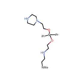 CNCCNCCO[Si](OCCN1CCNCC1)(C(C)C)C(C)C